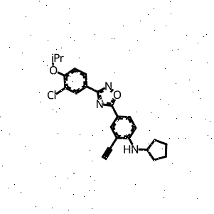 C#Cc1cc(-c2nc(-c3ccc(OC(C)C)c(Cl)c3)no2)ccc1NC1CCCC1